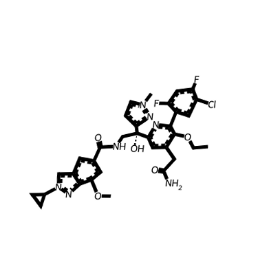 CCOc1c(CC(N)=O)cc([C@@](O)(CNC(=O)c2cc(OC)c3nn(C4CC4)cc3c2)c2ccn(C)n2)nc1-c1cc(Cl)c(F)cc1F